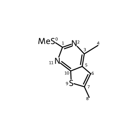 CSc1nc(C)c2cc(C)sc2n1